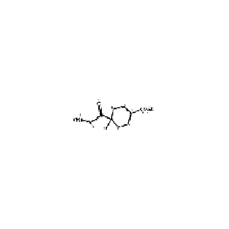 CCCCOC(=O)C1(C)CCN(C(=O)OCC)CC1